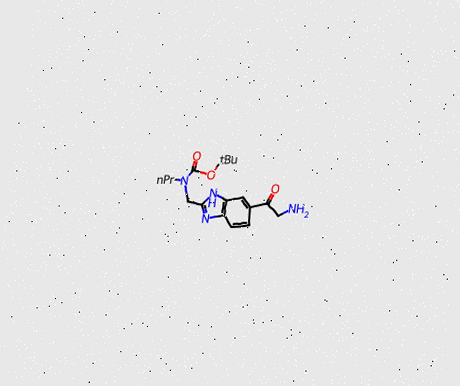 CCCN(Cc1nc2ccc(C(=O)CN)cc2[nH]1)C(=O)OC(C)(C)C